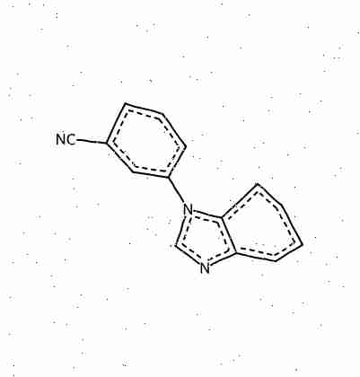 N#Cc1cccc(-n2[c]nc3ccccc32)c1